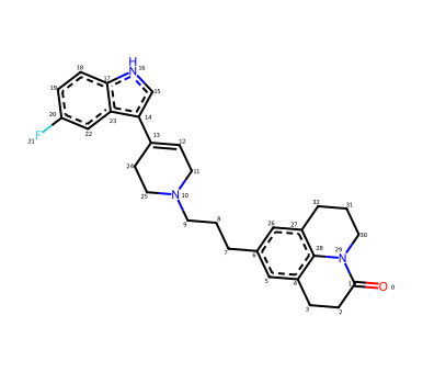 O=C1CCc2cc(CCCN3CC=C(c4c[nH]c5ccc(F)cc45)CC3)cc3c2N1CCC3